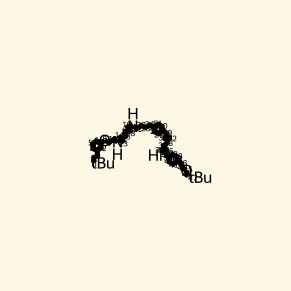 CC(C)(C)CCc1cccc(OCCNC(C)(C)CCC(C)(C)NCCCCc2ccc(CC(C)(C)CCC(C)(C)NC3CCN(CCOCC(C)(C)C)CC3)cc2)c1